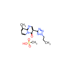 CCCn1nnc(-c2cnc3c(C)cccn3c2=O)n1.CS(=O)(=O)O